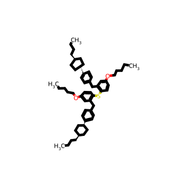 CCCCCOc1ccc(Sc2ccc(OCCCCC)cc2Cc2ccc([C@H]3CC[C@H](CCCC)CC3)cc2)c(Cc2ccc([C@H]3CC[C@H](CCCC)CC3)cc2)c1